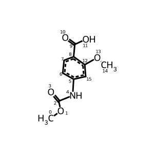 COC(=O)Nc1ccc(C(=O)O)c(OC)c1